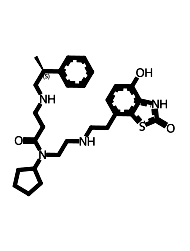 C[C@H](CNCCC(=O)N(CCNCCc1ccc(O)c2[nH]c(=O)sc12)C1CCCC1)c1ccccc1